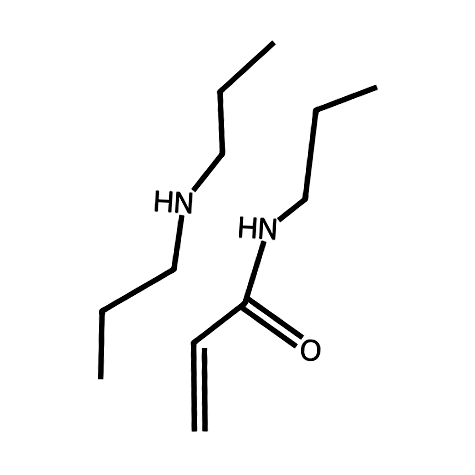 C=CC(=O)NCCC.CCCNCCC